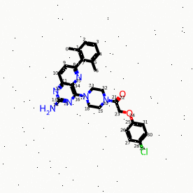 Cc1cccc(C)c1-c1ccc2nc(N)nc(N3CCN(C(=O)COc4ccc(Cl)cc4)CC3)c2n1